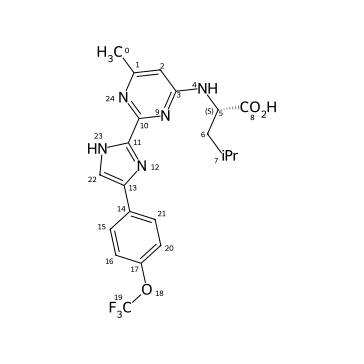 Cc1cc(N[C@@H](CC(C)C)C(=O)O)nc(-c2nc(-c3ccc(OC(F)(F)F)cc3)c[nH]2)n1